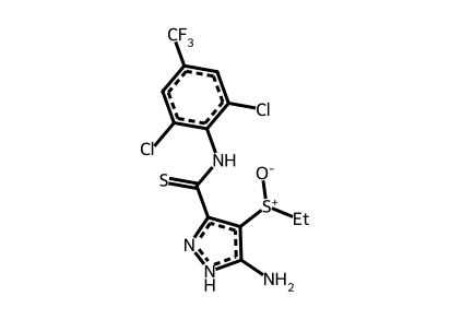 CC[S+]([O-])c1c(C(=S)Nc2c(Cl)cc(C(F)(F)F)cc2Cl)n[nH]c1N